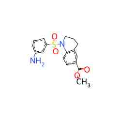 COC(=O)c1ccc2c(c1)CCCN2S(=O)(=O)c1cccc(N)c1